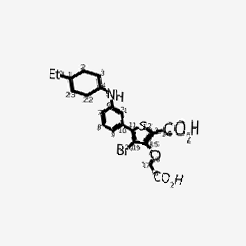 CCC1CCC(Nc2cccc(-c3sc(C(=O)O)c(OCC(=O)O)c3Br)c2)CC1